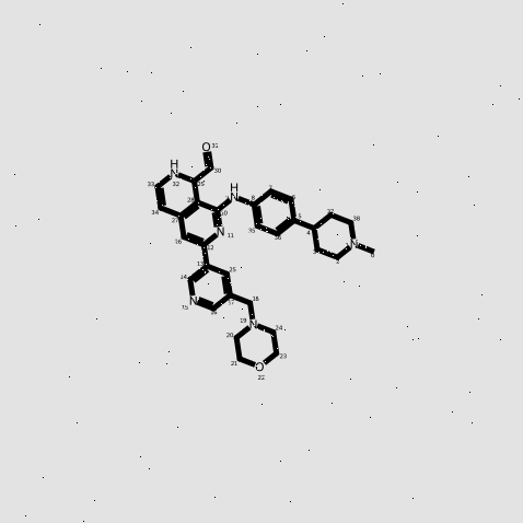 CN1CCC(c2ccc(Nc3nc(-c4cncc(CN5CCOCC5)c4)cc4c3C(C=O)NC=C4)cc2)CC1